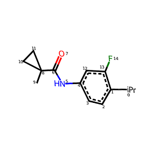 CC(C)c1ccc(NC(=O)C2(C)CC2)cc1F